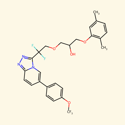 Cc1ccc(C)c(OCC(O)COCC(F)(F)c2nnc3ccc(-c4ccc(OC(F)(F)F)cc4)cn23)c1